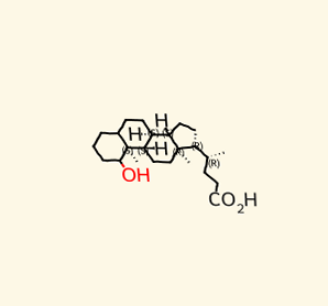 C[C@H](CCC(=O)O)[C@H]1CC[C@H]2[C@@H]3CCC4CCCC(O)[C@]4(C)[C@H]3CC[C@]12C